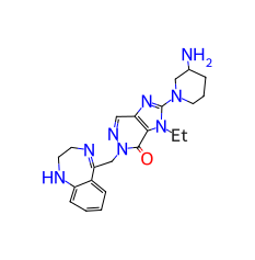 CCn1c(N2CCCC(N)C2)nc2cnn(CC3=NCCNc4ccccc43)c(=O)c21